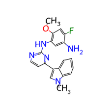 COc1cc(F)c(N)cc1Nc1nccc(-c2cn(C)c3ccccc23)n1